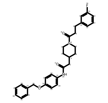 O=C(CC1CCN(C(=O)CCc2cccc(F)c2)CC1)Nc1ccc(OCc2ccccc2)cc1